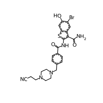 N#CCCN1CCN(Cc2ccc(C(=O)Nc3sc4cc(O)c(Br)cc4c3C(N)=O)cc2)CC1